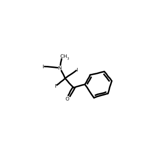 CN(I)C(I)(I)C(=O)c1ccccc1